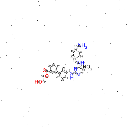 Cc1c(CNc2ncc([N+](=O)[O-])c(NCC3CCC(CN)CC3)n2)cccc1-c1cccc(C(=O)OCCO)c1